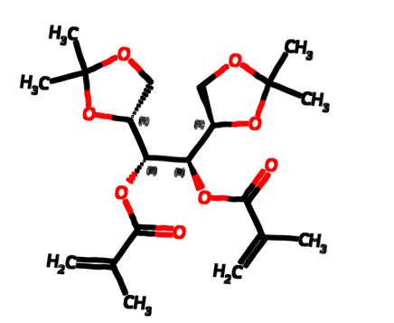 C=C(C)C(=O)O[C@@H]([C@H](OC(=O)C(=C)C)[C@H]1COC(C)(C)O1)[C@H]1COC(C)(C)O1